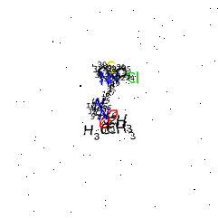 CC(C)(C)OC(=O)N1CCC2(CCCN2CCCCCN2c3cc(Cl)ccc3Sc3cccnc32)CC1